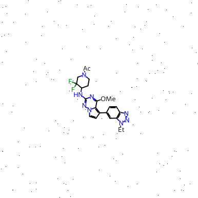 CCn1nnc2ccc(-c3ccn4nc(NC5CCN(C(C)=O)CC5(F)F)nc(OC)c34)cc21